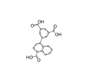 O=C(O)c1cc(C(=O)O)cc(-c2ccc(C(=O)O)c3ccccc23)c1